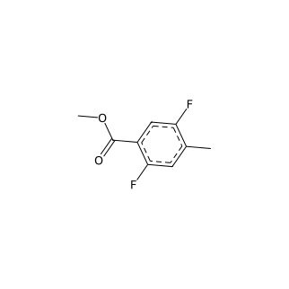 COC(=O)c1cc(F)c(C)cc1F